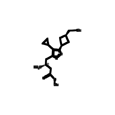 CC(C)(C)C[C@H]1C[C@@H](c2onc(C[C@H](CC(=O)OC(C)(C)C)C(=O)O)c2C2CC2)C1